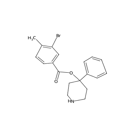 Cc1ccc(C(=O)OC2(c3ccccc3)CCNCC2)cc1Br